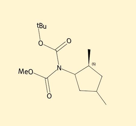 COC(=O)N(C(=O)OC(C)(C)C)C1CC(C)C[C@@H]1C